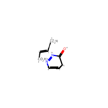 O=C(O)C=CC(=O)O.O=C1CC=CN=N1